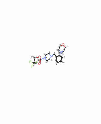 Cc1ccc(CN2CCN(C(=O)OC(C)C(F)(F)F)CC2)c(N2C3CCC2COC3)c1